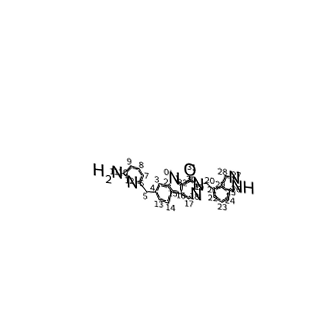 Cn1c2cc(Cc3cccc(N)n3)ccc2c2cnn(Cc3cccc4[nH]ncc34)c(=O)c21